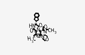 CC[C@@H](C)[C@@H]1C(=O)N[C@H](C2Cc3ccccc3C2)C(=O)N1[C@@H](C(=O)N1CCOCC1)c1coc(C)n1